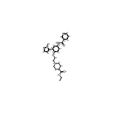 CCOC(=O)C1CCN(CCOc2ccc(NC(=O)c3cccnc3)cc2-c2ccnn2C)CC1